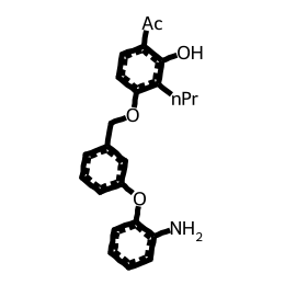 CCCc1c(OCc2cccc(Oc3ccccc3N)c2)ccc(C(C)=O)c1O